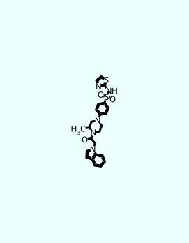 CC1CN(c2ccc(S(=O)(=O)Nc3nccs3)cc2)CCN1C(=O)Cn1ccc2ccccc21